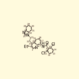 CCc1cnc2c(NC(=O)c3c(Cl)cccc3Cl)cccc2c1CCn1cnc2ccccc21